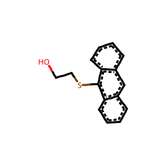 OCCSc1c2ccccc2cc2ccccc12